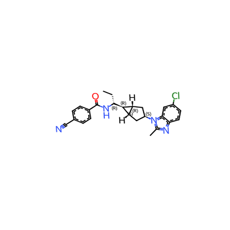 CC[C@@H](NC(=O)c1ccc(C#N)cc1)[C@H]1[C@@H]2C[C@@H](n3c(C)nc4ccc(Cl)cc43)C[C@@H]21